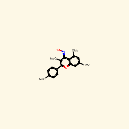 COc1ccc(-c2oc3cc(OC)cc(OC)c3c(=NO)c2OC)cc1